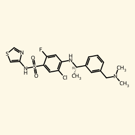 C[C@H](Nc1cc(F)c(S(=O)(=O)Nc2cscn2)cc1Cl)c1cccc(CN(C)C)c1